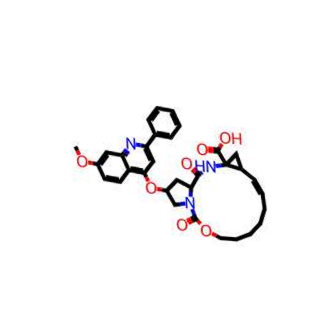 COc1ccc2c(OC3CC4C(=O)NC5(C(=O)O)CC5C=CCCCCCOC(=O)N4C3)cc(-c3ccccc3)nc2c1